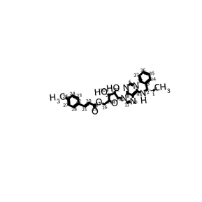 CC[C@H](Nc1ncnc2c1ncn2C1OC(COC(=O)/C=C/c2ccc(C)cc2)C(O)C1O)c1ccccc1